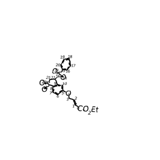 CCOC(=O)/C=C/COc1ccc2c(c1)C(S(=O)(=O)c1ccccc1)CS2(=O)=O